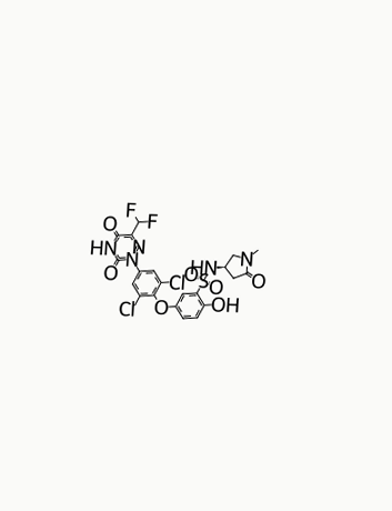 CN1C[C@H](NS(=O)(=O)c2cc(Oc3c(Cl)cc(-n4nc(C(F)F)c(=O)[nH]c4=O)cc3Cl)ccc2O)CC1=O